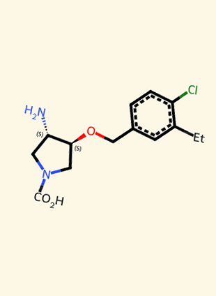 CCc1cc(CO[C@H]2CN(C(=O)O)C[C@@H]2N)ccc1Cl